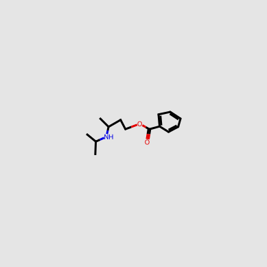 CC(C)NC(C)CCOC(=O)c1ccccc1